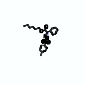 CCCCCCOC(=O)/C(=N/OS(=O)(=O)c1ccc(C)cc1)c1ccccc1